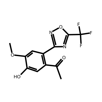 COc1cc(-c2noc(C(F)(F)F)n2)c(C(C)=O)cc1O